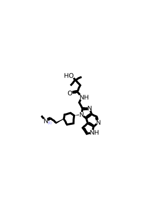 C/N=C/C[C@H]1CC[C@H](n2c(CNC(=O)CC(C)(C)O)nc3cnc4[nH]ccc4c32)CC1